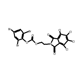 O=C(OCCN1C(=O)c2c(Cl)c(Cl)c(Cl)c(Cl)c2C1=O)Oc1c(Br)cc(Br)cc1Br